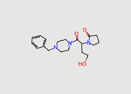 O=C(C(CCO)N1CCCC1=O)N1CCN(Cc2ccccc2)CC1